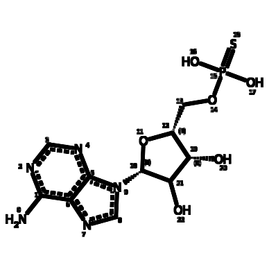 Nc1ncnc2c1ncn2[C@@H]1O[C@H](COP(O)(O)=S)[C@H](O)C1O